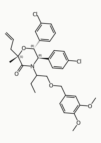 C=CC[C@]1(C)O[C@H](c2cccc(Cl)c2)[C@@H](c2ccc(Cl)cc2)N(C(CC)COCc2ccc(OC)c(OC)c2)C1=O